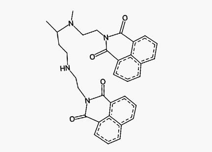 CC(CCNCCN1C(=O)c2cccc3cccc(c23)C1=O)N(C)CCN1C(=O)c2cccc3cccc(c23)C1=O